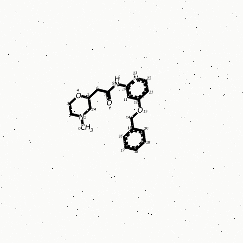 CN1CCOC(CC(=O)Nc2cc(OCc3ccccc3)ccn2)C1